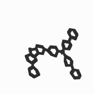 C1=CC(N(c2ccc(-c3ccccc3)cc2)c2ccc(-c3ccccc3)cc2)CC=C1C1C=CC2Sc3ccc(-c4ccccc4)cc3C2C1